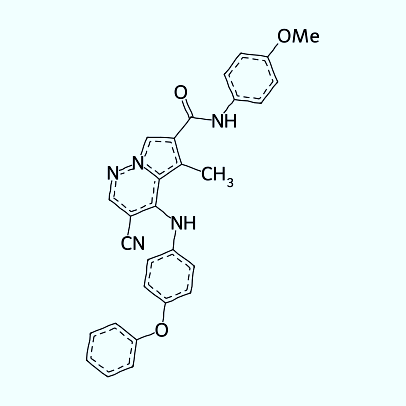 COc1ccc(NC(=O)c2cn3ncc(C#N)c(Nc4ccc(Oc5ccccc5)cc4)c3c2C)cc1